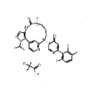 C[C@@H]1CCC[C@H](n2cnc(-c3c(F)ccc(Cl)c3F)cc2=O)c2cc(ccn2)-c2c(cnn2C(F)F)NC1=O.O=C(O)C(F)(F)F